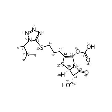 CC(N(C)C)n1nnnc1SCCCC1=C(OC(=O)O)N2C(=O)[C@H](CO)[C@H]2S1